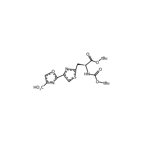 CC(C)(C)OC(=O)N[C@@H](Cc1nc(-c2nc(C(=O)O)co2)cs1)C(=O)OC(C)(C)C